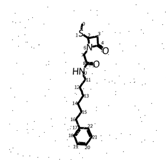 CSC1CC(=O)N1CC(=O)NCCCCCCc1ccccc1